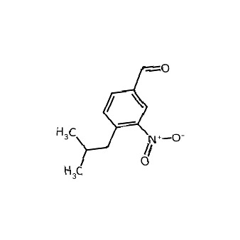 CC(C)Cc1ccc(C=O)cc1[N+](=O)[O-]